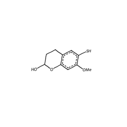 COc1cc2c(cc1S)CCC(O)O2